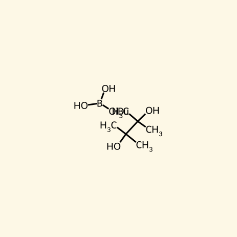 CC(C)(O)C(C)(C)O.CC(C)COB(O)O